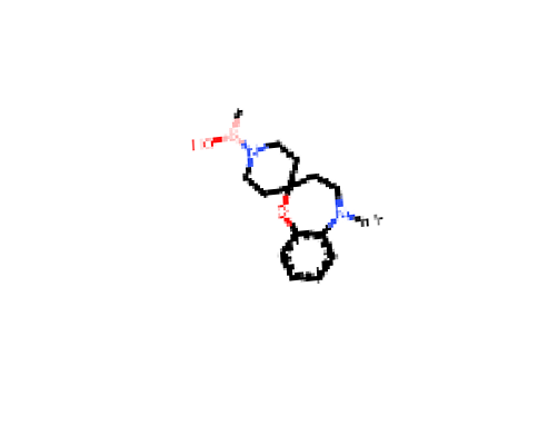 CCCN1CCC2(CCN(B(C)O)CC2)Oc2ccccc21